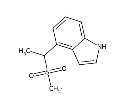 [CH2]S(=O)(=O)C(C)c1cccc2[nH]ccc12